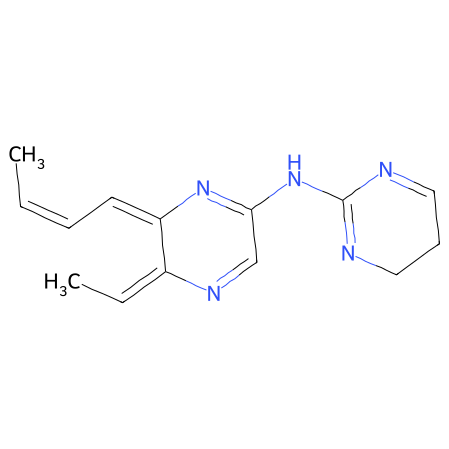 C\C=C/C=c1/nc(NC2=NCCC=N2)cn/c1=C/C